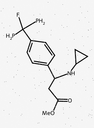 COC(=O)CC(NC1CC1)c1ccc(C(F)(P)P)cc1